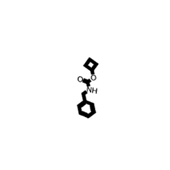 O=C(NCc1ccccc1)OC1CCC1